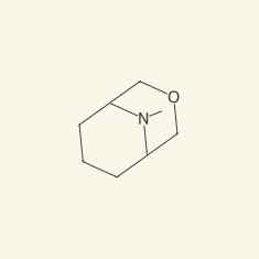 CN1C2CCCC1COC2